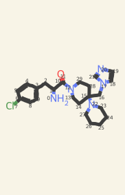 NC(Cc1ccc(Cl)cc1)C(=O)N1CCC(Cn2ccnc2)(N2CCCCC2)CC1